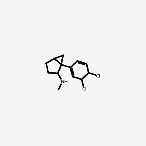 CNC1CCC2CC21C1=CC(Cl)C(Cl)C=C1